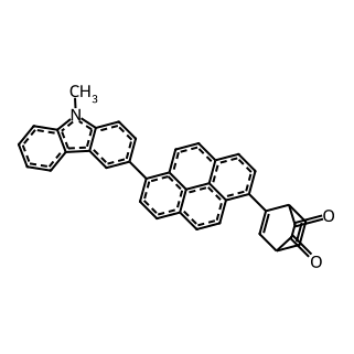 Cn1c2ccccc2c2cc(-c3ccc4ccc5c(C6=CC7C=CC6C(=O)C7=O)ccc6ccc3c4c65)ccc21